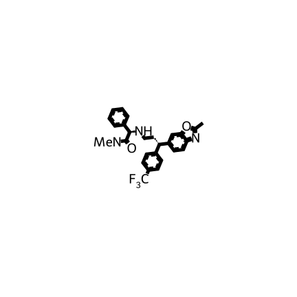 CNC(=O)[C@H](NCC[C@@H](c1ccc(C(F)(F)F)cc1)c1ccc2nc(C)oc2c1)c1ccccc1